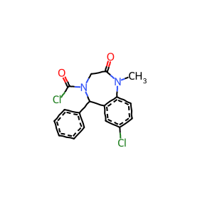 CN1C(=O)CN(C(=O)Cl)C(c2ccccc2)c2cc(Cl)ccc21